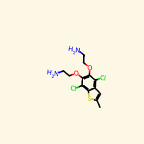 Cc1cc2c(Cl)c(OCCN)c(OCCN)c(Cl)c2s1